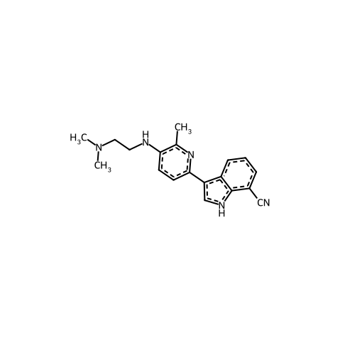 Cc1nc(-c2c[nH]c3c(C#N)cccc23)ccc1NCCN(C)C